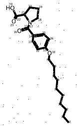 CCCCCCCCCCOc1ccc(C(=O)N2CCCC2C(=O)O)cc1